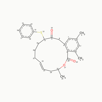 Cc1cc(C)c2c(c1)CC(=O)C(Sc1ccccc1)CCC/C=C/CC(C)OC2=O